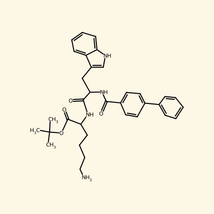 CC(C)(C)OC(=O)C(CCCCN)NC(=O)C(Cc1c[nH]c2ccccc12)NC(=O)c1ccc(-c2ccccc2)cc1